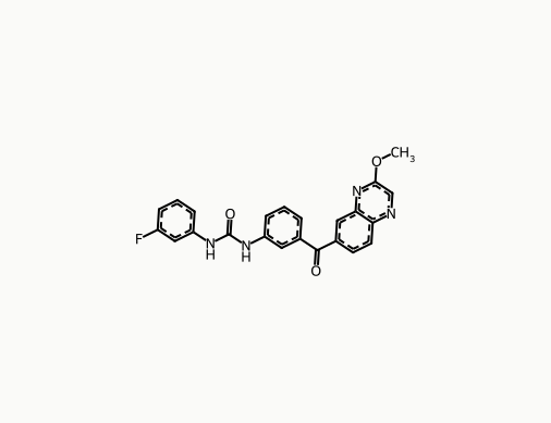 COc1cnc2ccc(C(=O)c3cccc(NC(=O)Nc4cccc(F)c4)c3)cc2n1